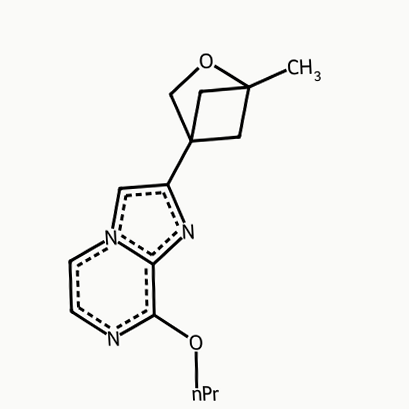 CCCOc1nccn2cc(C34COC(C)(C3)C4)nc12